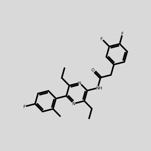 CCc1nc(-c2ccc(F)cc2C)c(CC)nc1NC(=O)Cc1ccc(F)c(F)c1